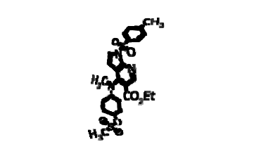 CCOC(=O)c1cnc2c(ccn2S(=O)(=O)c2ccc(C)cc2)c1N(C)[C@H]1CC[C@H](OS(C)(=O)=O)CC1